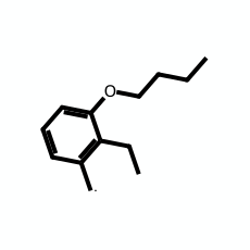 [CH2]c1cccc(OCCCC)c1CC